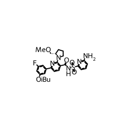 COC[C@@H]1CCCN1c1nc(-c2cc(F)cc(OCC(C)C)c2)ccc1C(=O)NS(=O)(=O)c1cccc(N)n1